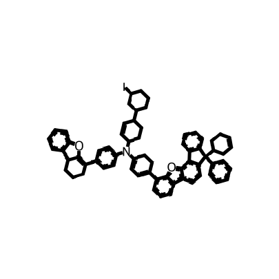 IC1CCCC(C2C=CC(N(C3=CC=C(c4cccc5c4oc4c6c(ccc45)C(c4ccccc4)(C4CC=CCC4)c4ccccc4-6)CC3)c3ccc(C4=C5Oc6ccccc6C5CCC4)cc3)CC2)C1